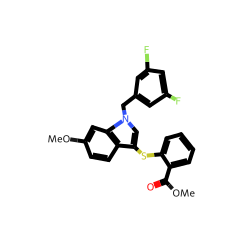 COC(=O)c1ccccc1Sc1cn(Cc2cc(F)cc(F)c2)c2cc(OC)ccc12